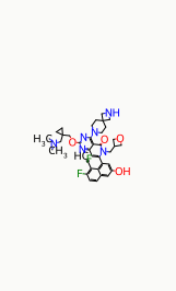 C#Cc1c(F)ccc2cc(O)cc(-c3c(F)c4nc(OCC5(CN(C)C)CC5)nc(N5CCC6(CC5)CNC6)c4c(=O)n3CC3COC3)c12